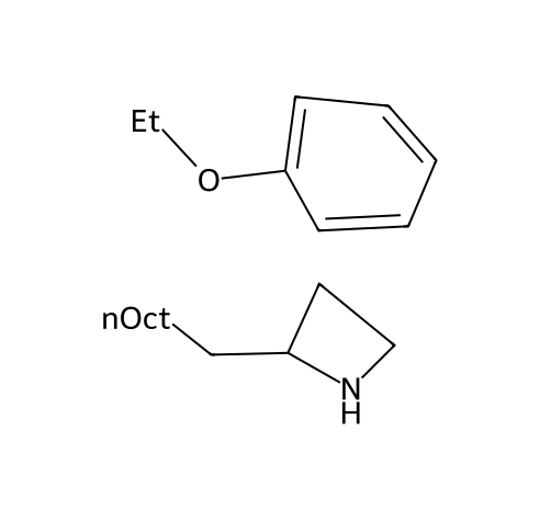 CCCCCCCCCC1CCN1.CCOc1ccccc1